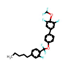 CCCCCc1ccc(C(F)(F)Oc2ccc(-c3cc(F)c(OC(F)F)c(F)c3)cc2)c(F)c1